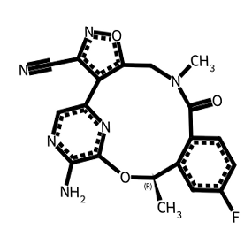 C[C@H]1Oc2nc(cnc2N)-c2c(C#N)noc2CN(C)C(=O)c2ccc(F)cc21